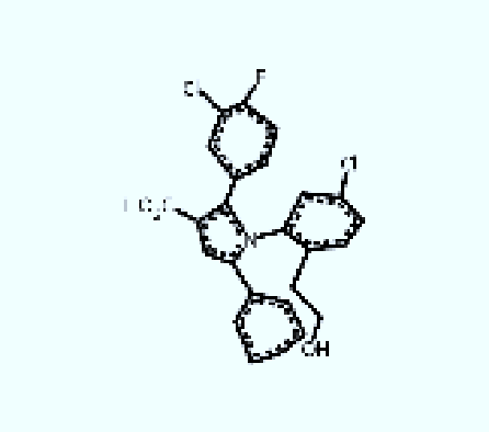 O=C(O)c1cc(-c2ccccc2)n(-c2cc(Cl)ccc2CCO)c1-c1ccc(F)c(Cl)c1